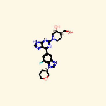 OC[C@H]1CCN(c2nc(-c3cc(F)c4c(c3)ncn4[C@H]3CCCOC3)c3nc[nH]c3n2)C[C@@H]1O